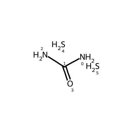 NC(N)=O.S.S